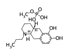 CCCN1CCC[C@@H]2Cc3c(ccc(O)c3O)C[C@H]21.COP(=O)(O)O